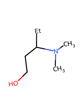 CCC(CCO)N(C)C